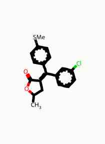 CSc1ccc(C(=C2CC(C)OC2=O)c2cccc(Cl)c2)cc1